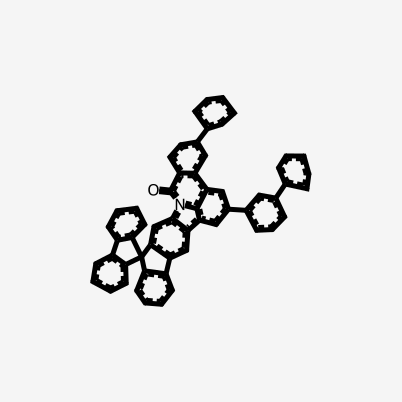 O=c1c2ccc(-c3ccccc3)cc2c2cc(-c3cccc(-c4ccccc4)c3)cc3c4cc5c(cc4n1c23)C1(c2ccccc2-c2ccccc21)c1ccccc1-5